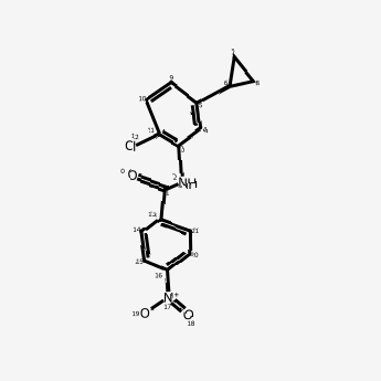 O=C(Nc1cc(C2CC2)ccc1Cl)c1ccc([N+](=O)[O-])cc1